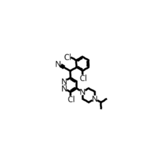 CC(C)N1CCN(c2cc(C(C#N)c3c(Cl)cccc3Cl)nnc2Cl)CC1